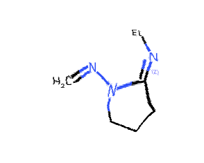 C=NN1CCC/C1=N/CC